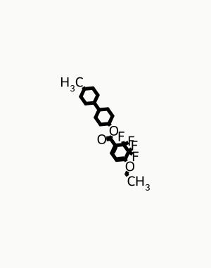 CCOC1=CC=C(C(=O)OC2CCC(C3CCC(C)CC3)CC2)C(F)(F)C1(F)F